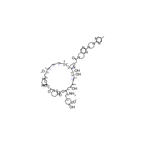 CO[C@H]1C[C@@H]2CC[C@@H](C)[C@](O)(CC(=O)N3CCCC[C@H]3C(=O)O[C@H]([C@H](N)C[C@@H]3CC[C@@H](O)[C@H](OC)C3)C[C@@H](O)[C@H](C)/C=C(\C)[C@@H](O)[C@@H](O)/C(=N/OCC(=O)N3CCc4nc(N5CCN(c6ncc(C)cn6)CC5)ncc4C3)[C@H](C)C[C@H](C)/C=C/C=C/C=C/1C)O2